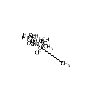 CCCCCCCCCCCCCCCC(OCCCn1ccc(=O)n(CC[N+](C)(C)C)c1=O)C(C)OC(=O)N(C)C.[Cl-]